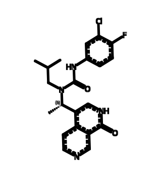 CC(C)CN(C(=O)Nc1ccc(F)c(Cl)c1)[C@@H](C)c1c[nH]c(=O)c2cnccc12